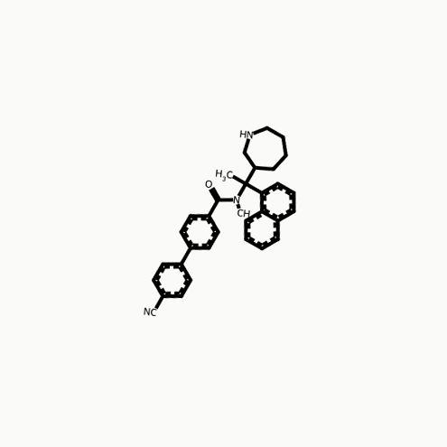 CN(C(=O)c1ccc(-c2ccc(C#N)cc2)cc1)C(C)(c1cccc2ccccc12)C1CCCCNC1